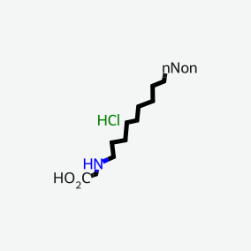 CCCCCCCCCCCCCCCCCCNCC(=O)O.Cl